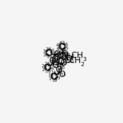 C=C(C)CS(=O)(=O)C1O[C@H](COC(=O)c2ccccc2)[C@@H](OC(=O)c2ccccc2)[C@H](OC(=O)c2ccccc2)[C@H]1OC(=O)c1ccccc1